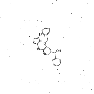 Cc1csc(Nc2ncc(C(O)c3ccccc3)cc2OCc2ccccc2)n1